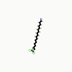 Cl[SiH](Cl)CCCCCCCCCCCCCCCCCI